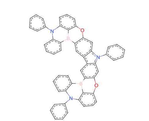 c1ccc(N2c3ccccc3B3c4cc5c6cc7c(cc6n(-c6ccccc6)c5cc4Oc4cccc2c43)Oc2cccc3c2B7c2ccccc2N3c2ccccc2)cc1